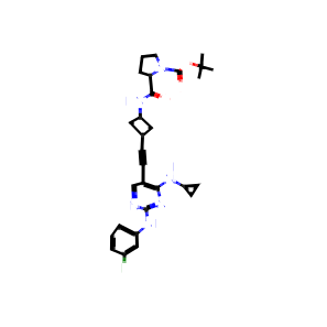 CC(C)(C)OC(=O)N1CCCC1C(=O)NC1CC(C#Cc2cnc(Nc3cccc(F)c3)nc2NC2CC2)C1